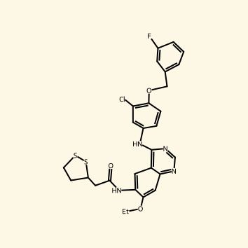 CCOc1cc2ncnc(Nc3ccc(OCc4cccc(F)c4)c(Cl)c3)c2cc1NC(=O)CC1CCSS1